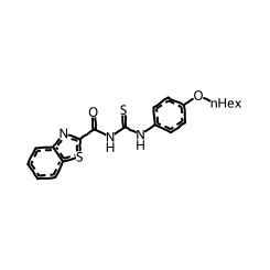 CCCCCCOc1ccc(NC(=S)NC(=O)c2nc3ccccc3s2)cc1